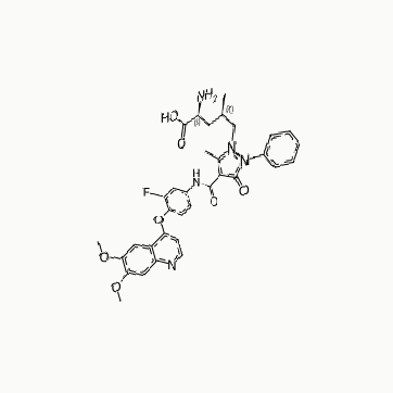 COc1cc2nccc(Oc3ccc(NC(=O)c4c(C)n(C[C@H](C)C[C@H](N)C(=O)O)n(-c5ccccc5)c4=O)cc3F)c2cc1OC